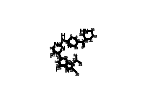 C=C(c1ccc(Nc2ncc(F)c(-c3cc(F)c4nc(C)n(C(C)C)c4c3)n2)nc1)C1CCCNC1